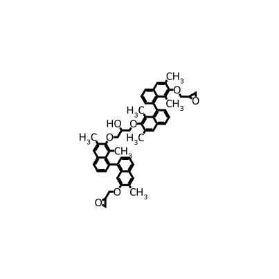 Cc1cc2cccc(-c3cccc4cc(C)c(OCC(O)COc5c(C)cc6cccc(-c7cccc8cc(C)c(OCC9CO9)c(C)c78)c6c5C)c(C)c34)c2cc1OCC1CO1